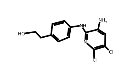 Nc1cc(Cl)c(Cl)nc1Nc1ccc(CCO)cc1